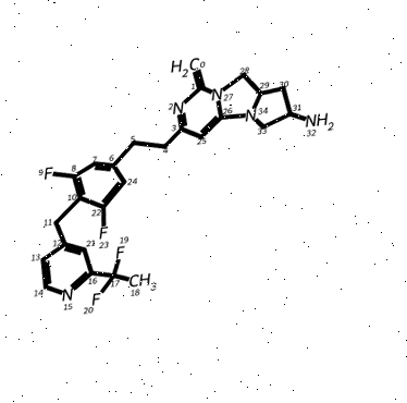 C=C1N=C(CCc2cc(F)c(Cc3ccnc(C(C)(F)F)c3)c(F)c2)C=C2N1CC1CC(N)CN21